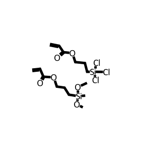 C=CC(=O)OCCC[Si](C)(OC)OC.C=CC(=O)OCCC[Si](Cl)(Cl)Cl